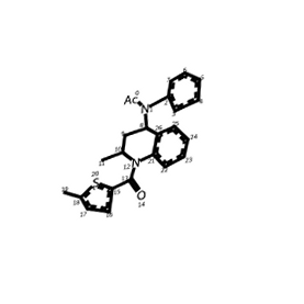 CC(=O)N(c1ccccc1)C1CC(C)N(C(=O)c2ccc(C)s2)c2ccccc21